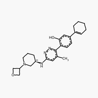 Cc1cc(N[C@@H]2CCCN(C3COC3)C2)nnc1-c1ccc(C2=CCCCC2)cc1O